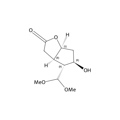 COC(OC)[C@@H]1[C@H]2CC(=O)O[C@H]2C[C@H]1O